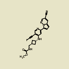 COC(=O)NC[C@H]1C[C@H](Nc2cc(-c3ccc4cc(C#N)cnn34)ncc2C#CI)C1